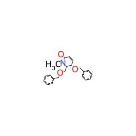 CN1C(=O)C=CC(OCc2ccccc2)C1COCc1ccccc1